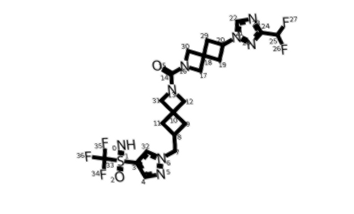 N=S(=O)(c1cnn(CC2CC3(C2)CN(C(=O)N2CC4(CC(n5cnc(C(F)F)n5)C4)C2)C3)c1)C(F)(F)F